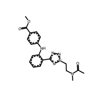 COC(=O)c1ccc(Nc2ccccc2-c2nnn(CCN(C)C(C)=O)n2)cc1